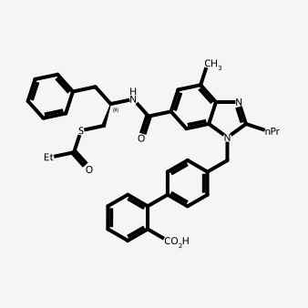 CCCc1nc2c(C)cc(C(=O)N[C@@H](CSC(=O)CC)Cc3ccccc3)cc2n1Cc1ccc(-c2ccccc2C(=O)O)cc1